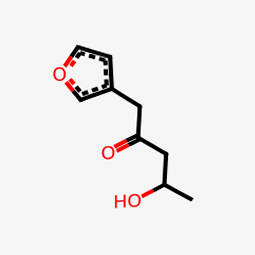 CC(O)CC(=O)Cc1ccoc1